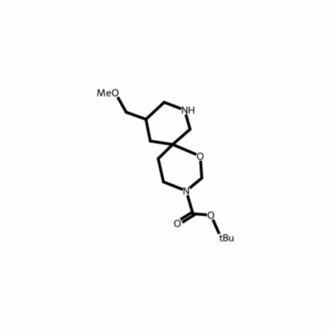 COCC1CNCC2(CCN(C(=O)OC(C)(C)C)CO2)C1